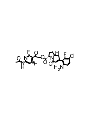 [2H]c1cc(NC(C)=O)nc(F)c1C(=O)COC(=O)[C@@H]1CC[C@@H]2CC(c3c(N)ccc(Cl)c3F)=CC(=O)N21